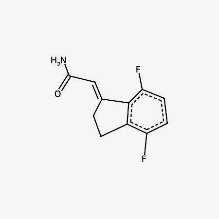 NC(=O)C=C1CCc2c(F)ccc(F)c21